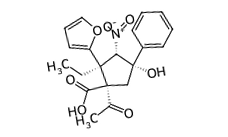 CC[C@]1(c2ccco2)[C@H]([N+](=O)[O-])[C@@](O)(c2ccccc2)C[C@@]1(C(C)=O)C(=O)O